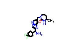 CC1CCCN(Cc2cnn3cc([C@@H](N)C4CCC(F)(F)CC4)nc3c2)C(=O)N1